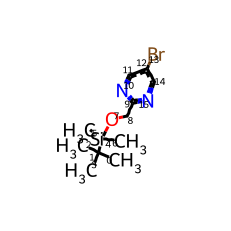 CC(C)(C)[Si](C)(C)OCc1ncc(Br)cn1